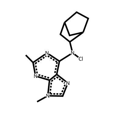 Cc1nc(N(Cl)C2CC3CCC2C3)c2ncn(C)c2n1